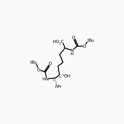 CCC[C@H](NC(=O)OC(C)(C)C)[C@@H](O)CCCC(NC(=O)OC(C)(C)C)C(=O)O